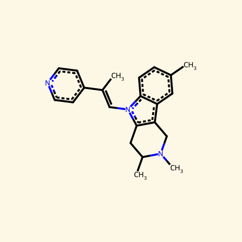 C/C(=C\n1c2c(c3cc(C)ccc31)CN(C)C(C)C2)c1ccncc1